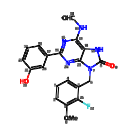 COc1cccc(Cn2c(=O)[nH]c3c(N[C]=O)nc(-c4cccc(O)c4)nc32)c1F